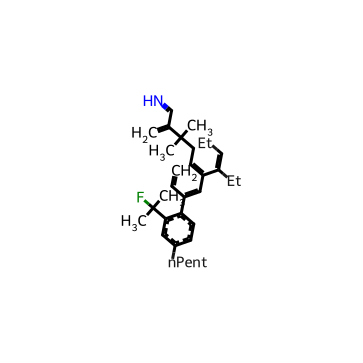 C=C\C(=C/C(=C/CC(C)(C)C(=C)C=N)C(=C\CC)/CC)c1ccc(CCCCC)cc1C(C)(C)F